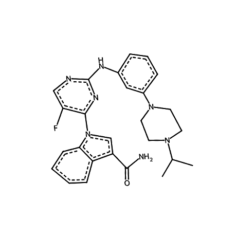 CC(C)N1CCN(c2cccc(Nc3ncc(F)c(-n4cc(C(N)=O)c5ccccc54)n3)c2)CC1